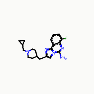 Nc1nc2c(F)cccc2c2nc(CC3CCN(CC4CC4)CC3)cn12